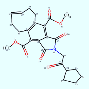 COC(=O)c1c2c(c(C(=O)OC)c3c1C(=O)N(CC(=O)C1CCCC1)C3=O)CC/C=C/CC2